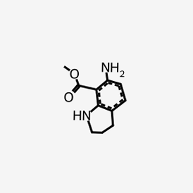 COC(=O)c1c(N)ccc2c1NCCC2